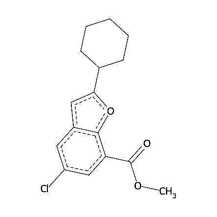 COC(=O)c1cc(Cl)cc2cc(C3CCCCC3)oc12